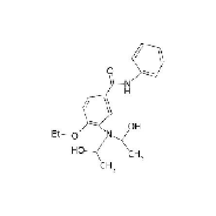 CCOc1ccc(C(=O)Nc2ccccc2)cc1N(C(C)O)C(C)O